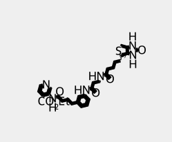 CCOC(=O)c1ccncc1NC(=O)CCCc1cccc(NC(=O)CCNC(=O)CCCC[C@@H]2SCC3NC(=O)NC32)c1